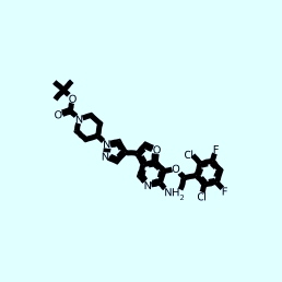 CC(Oc1c(N)ncc2c(-c3cnn(C4CCN(C(=O)OC(C)(C)C)CC4)c3)coc12)c1c(Cl)c(F)cc(F)c1Cl